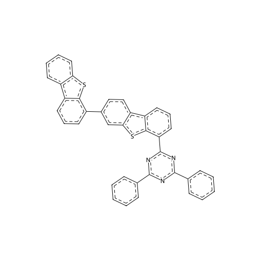 c1ccc(-c2nc(-c3ccccc3)nc(-c3cccc4c3sc3cc(-c5cccc6c5sc5ccccc56)ccc34)n2)cc1